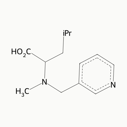 CC(C)CC(C(=O)O)N(C)Cc1cccnc1